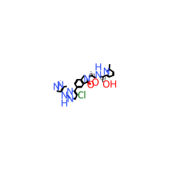 Cc1cccc([C@@H](CO)NC(=O)[C@@H](C)N2Cc3ccc(-c4nc(Nc5cnn(C)c5C)ncc4Cl)cc3C2=O)n1